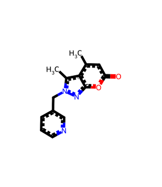 Cc1cc(=O)oc2nn(Cc3cccnc3)c(C)c12